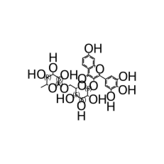 CC1O[C@@H](OCC2O[C@@H](Oc3c(-c4cc(O)c(O)c(O)c4)oc4cc(O)ccc4c3=O)C(O)[C@@H](O)[C@@H]2O)[C@@H](O)C(O)[C@H]1O